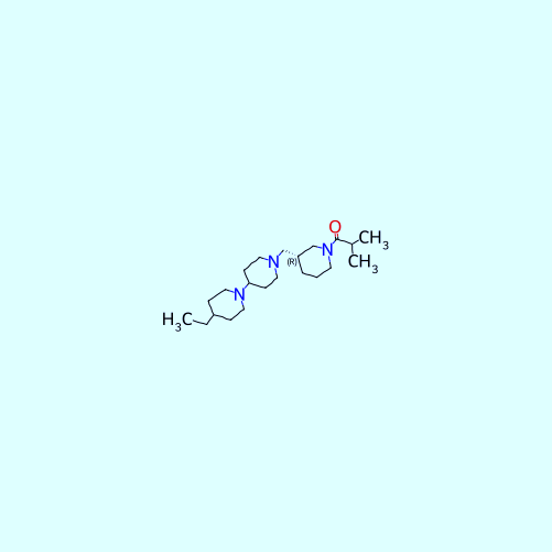 CCC1CCN(C2CCN(C[C@H]3CCCN(C(=O)C(C)C)C3)CC2)CC1